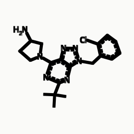 CC(C)(C)c1nc(N2CCC(N)C2)c2nnn(Cc3ccccc3Cl)c2n1